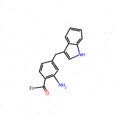 CCC(=O)c1ccc(Cc2c[nH]c3ccccc23)cc1N